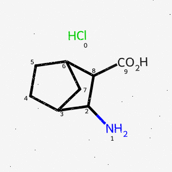 Cl.NC1C2CCC(C2)C1C(=O)O